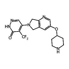 O=c1[nH]ncc(N2Cc3cc(OC4CCNCC4)cnc3C2)c1C(F)(F)F